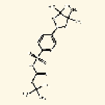 CC(C)(C)OC(=O)NS(=O)(=O)c1ccc(B2OC(C)(C)C(C)(C)O2)cn1